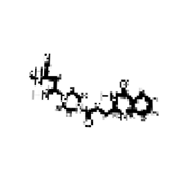 CN/C(C#N)=C\C(=N)N1CCN(C(=O)CCc2nc3ccccc3c(=O)[nH]2)CC1